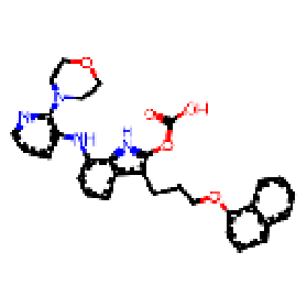 O=C(O)Oc1[nH]c2c(Nc3cccnc3N3CCOCC3)cccc2c1CCCOc1cccc2ccccc12